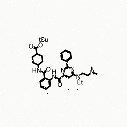 CCN(CCN(C)C)c1cc(C(=O)Nc2ccccc2C(=O)NC2CCC(C(=O)OC(C)(C)C)CC2)nc(-c2ccccc2)n1